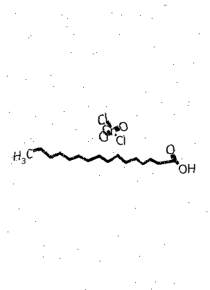 CCCCCCCCCCCCCCCC(=O)O.[O]=[Cr](=[O])([Cl])[Cl]